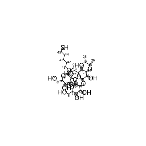 CCCC1(O[C@H]2OC(CO)[C@@H](O)C(O)C2O[C@@H]2OC(CO)[C@@H](O)C(OC(C)CC)C2O)C(O)[C@H](O)C(CO)O[C@@H]1OCCCCCS